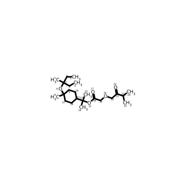 CCC(C)(CC)OC1(C)CCC(C(C)(C)OC(=O)COCC(=O)C(C)C)CC1